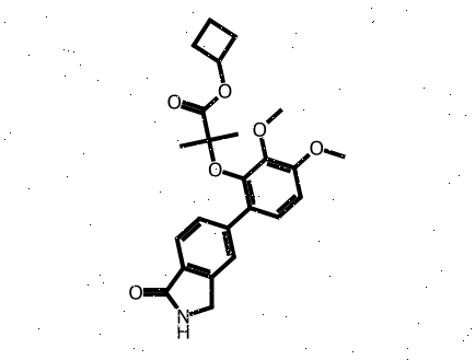 COc1ccc(-c2ccc3c(c2)CNC3=O)c(OC(C)(C)C(=O)OC2CCC2)c1OC